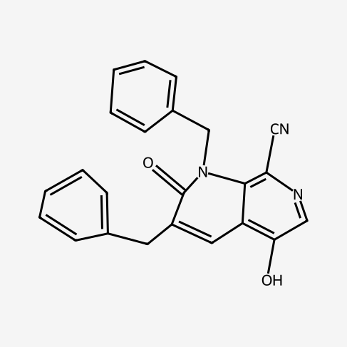 N#Cc1ncc(O)c2cc(Cc3ccccc3)c(=O)n(Cc3ccccc3)c12